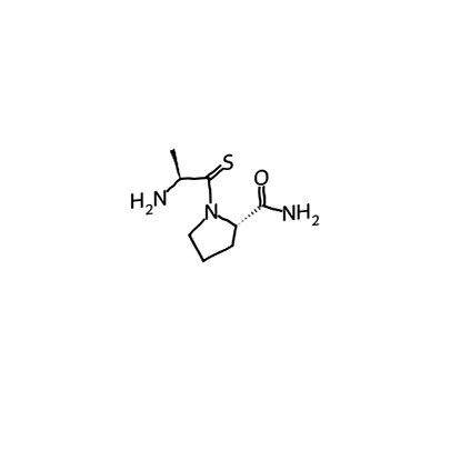 C[C@H](N)C(=S)N1CCC[C@H]1C(N)=O